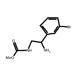 COC(=O)NCC(N)c1cccc(Br)c1